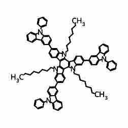 CCCCCCCCn1c2cc(-c3ccc4c(c3)c3ccccc3n4-c3ccccc3)ccc2c2c1c1c3ccc(-c4ccc5c(c4)c4ccccc4n5-c4ccccc4)cc3n(CCCCCCCC)c1c1c3ccc(-c4ccc5c(c4)c4ccccc4n5-c4ccccc4)cc3n(CCCCCCCC)c21